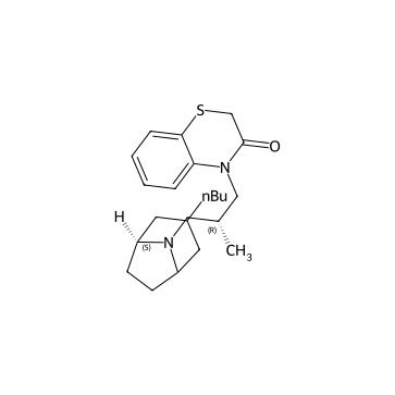 CCCCC1CC2CC[C@@H](C1)N2C[C@@H](C)CN1C(=O)CSc2ccccc21